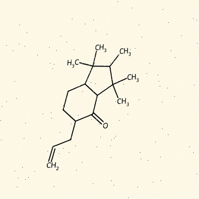 C=CCC1CCC2C(C1=O)C(C)(C)C(C)C2(C)C